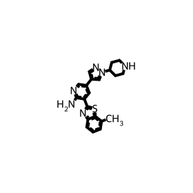 Cc1cccc2nc(-c3cc(-c4cnn(C5CCNCC5)c4)cnc3N)sc12